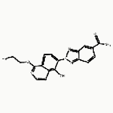 NC(=O)c1ccc2nn(-c3ccc4c(OCCS)nccc4c3O)nc2c1